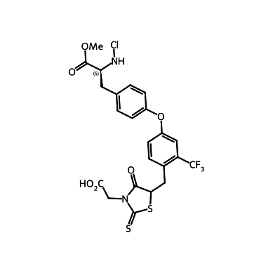 COC(=O)[C@H](Cc1ccc(Oc2ccc(CC3SC(=S)N(CC(=O)O)C3=O)c(C(F)(F)F)c2)cc1)NCl